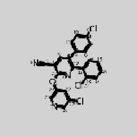 N#Cc1cc(-c2ccc(Cl)cc2)c(-c2ccccc2Cl)nc1Oc1cncc(Cl)c1